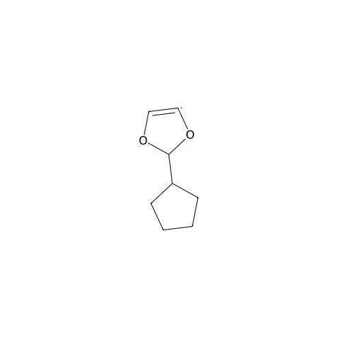 [C]1=COC(C2CCCC2)O1